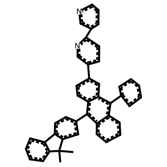 CC1(C)c2ccccc2-c2ccc(-c3c4ccccc4c(-c4ccccc4)c4cc(-c5ccc(-c6cccnc6)nc5)ccc34)cc21